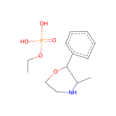 CC1NCCOC1c1ccccc1.CCOP(=O)(O)O